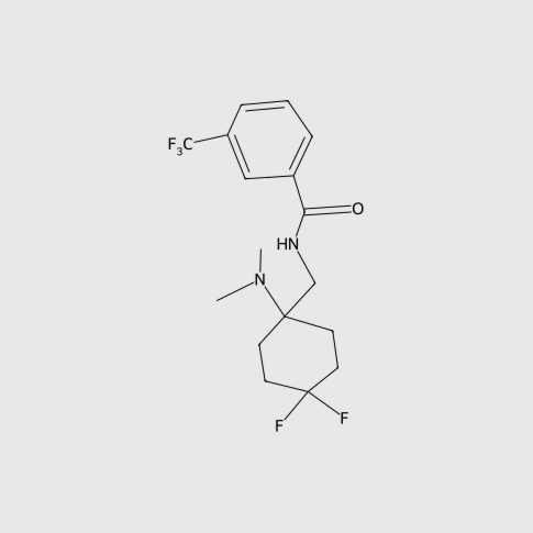 CN(C)C1(CNC(=O)c2cccc(C(F)(F)F)c2)CCC(F)(F)CC1